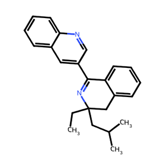 CCC1(CC(C)C)Cc2ccccc2C(c2cnc3ccccc3c2)=N1